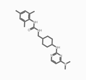 Cc1cc(C)c(NC(=O)NCC2CCC(Nc3nccc(N(C)C)n3)CC2)c(C)c1